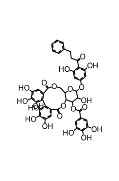 O=C(OC1C(O)C(Oc2cc(O)c(C(=O)CCc3ccccc3)c(O)c2)OC2COC(=O)c3cc(O)c(O)c(O)c3-c3c(cc(O)c(O)c3O)C(=O)OC21)c1cc(O)c(O)c(O)c1